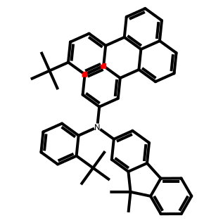 CC(C)(C)c1ccc(-c2cccc3cccc(-c4cccc(N(c5ccc6c(c5)C(C)(C)c5ccccc5-6)c5ccccc5C(C)(C)C)c4)c23)cc1